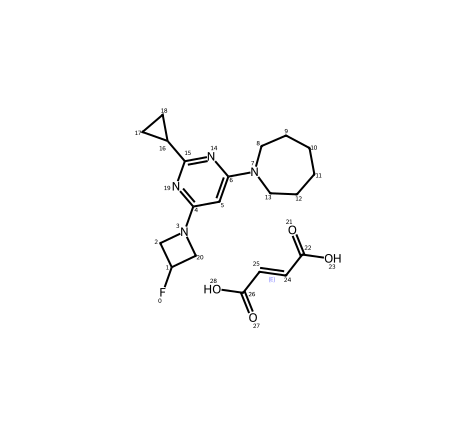 FC1CN(c2cc(N3CCCCCC3)nc(C3CC3)n2)C1.O=C(O)/C=C/C(=O)O